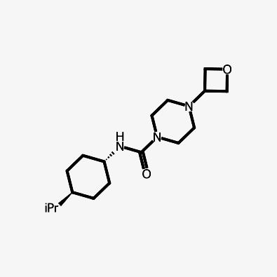 CC(C)[C@H]1CC[C@H](NC(=O)N2CCN(C3COC3)CC2)CC1